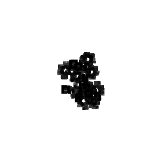 CC[C@H]1C[C@@H]2C[C@@H](C)C[C@@H](C1)C21c2ccccc2C2(c3ccccc3-c3ccccc32)c2ccc(N(c3cccc(-c4ccccc4)c3)c3ccc4c(c3)C(C)(C)c3ccccc3-4)cc21